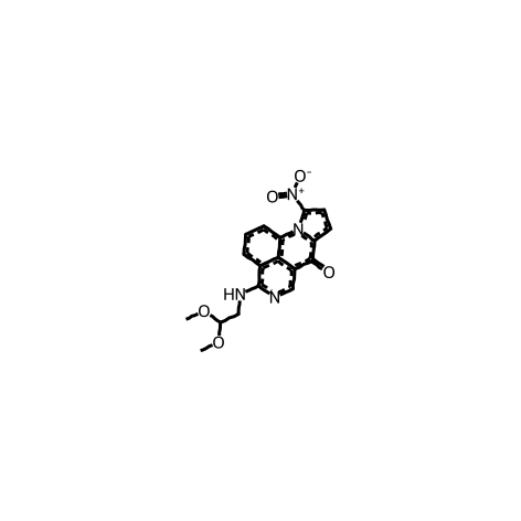 COC(CNc1ncc2c(=O)c3ccc([N+](=O)[O-])n3c3cccc1c23)OC